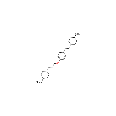 CCCCCC[C@H]1CC[C@H](CCCOc2ccc(CC[C@H]3CC[C@H](C)CC3)cc2)CC1